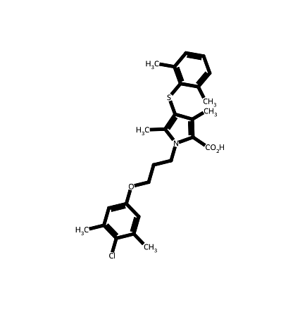 Cc1cc(OCCCn2c(C)c(Sc3c(C)cccc3C)c(C)c2C(=O)O)cc(C)c1Cl